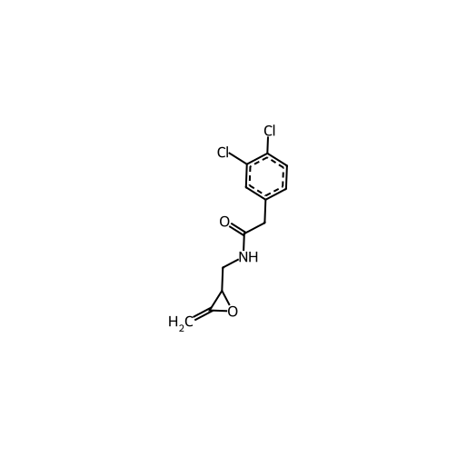 C=C1OC1CNC(=O)Cc1ccc(Cl)c(Cl)c1